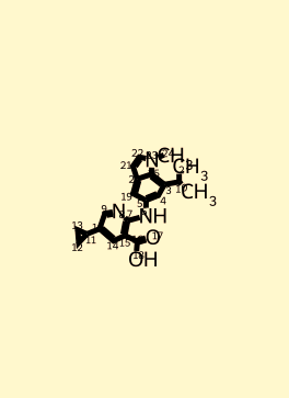 CC(C)c1cc(Nc2ncc(C3CC3)cc2C(=O)O)cc2ccn(C)c12